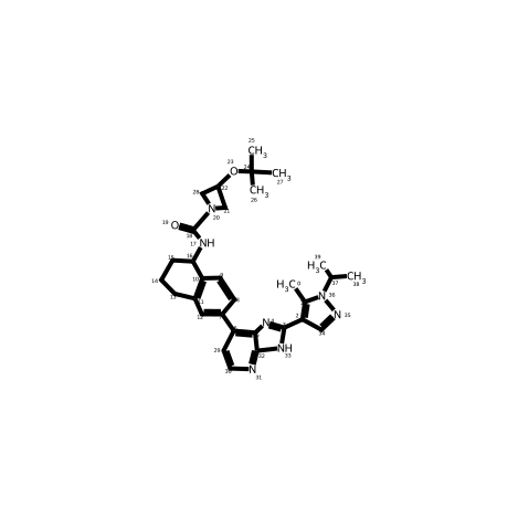 Cc1c(-c2nc3c(-c4ccc5c(c4)CCCC5NC(=O)N4CC(OC(C)(C)C)C4)ccnc3[nH]2)cnn1C(C)C